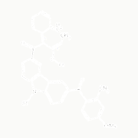 C=c1cccc/c1=C(C(=O)c1ccc2c(c1)c1cc(C(=O)c3ccc(OC)cc3C)ccc1n2CC)/C(=C\C)OCC